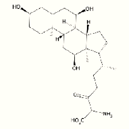 C[C@H](CCC(=O)C(N)C(=O)O)[C@H]1CC[C@H]2[C@@H]3[C@H](O)CC4C[C@H](O)CC[C@]4(C)[C@H]3C[C@H](O)[C@]12C